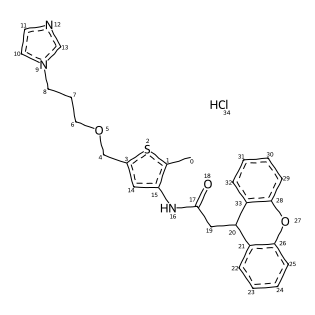 Cc1sc(COCCCn2ccnc2)cc1NC(=O)CC1c2ccccc2Oc2ccccc21.Cl